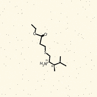 CCOC(=O)CCSC[C@@H](N)[C@H](C)C(C)C